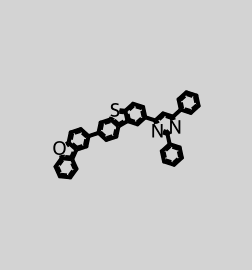 c1ccc(-c2cc(-c3ccc4sc5cc(-c6ccc7oc8ccccc8c7c6)ccc5c4c3)nc(-c3ccccc3)n2)cc1